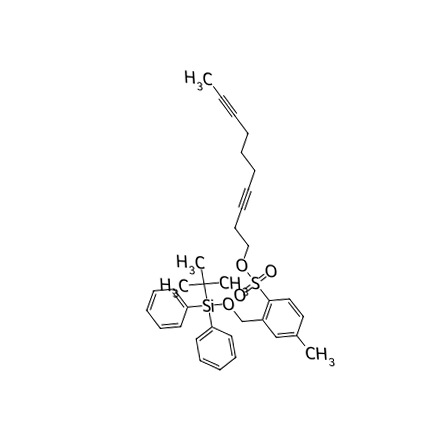 CC#CCCCC#CCCOS(=O)(=O)c1ccc(C)cc1CO[Si](c1ccccc1)(c1ccccc1)C(C)(C)C